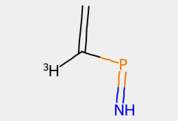 [3H]C(=C)P=N